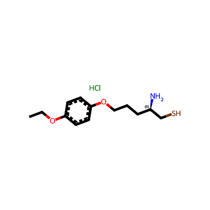 CCOc1ccc(OCCC[C@@H](N)CS)cc1.Cl